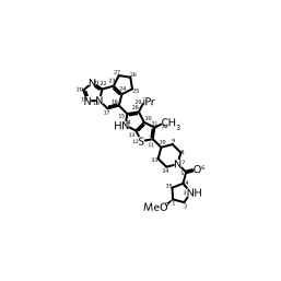 CO[C@@H]1CNC(C(=O)N2CCC(c3sc4[nH]c(-c5cn6ncnc6c6c5CCC6)c(C(C)C)c4c3C)CC2)C1